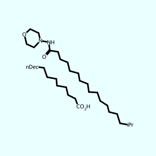 CC(C)CCCCCCCCCCCCCCC(=O)NN1CCOCC1.CCCCCCCCCCCCCCCCCC(=O)O